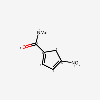 CNC(=O)C1=CC=C([N+](=O)[O-])C1